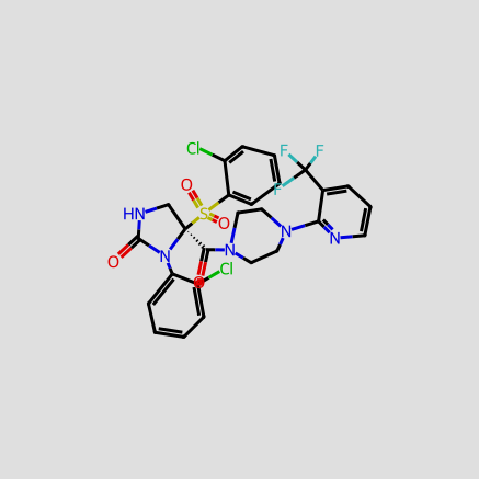 O=C1NC[C@@](C(=O)N2CCN(c3ncccc3C(F)(F)F)CC2)(S(=O)(=O)c2ccccc2Cl)N1c1ccccc1Cl